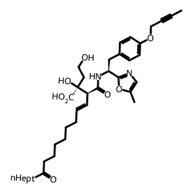 CC#CCOc1ccc(C[C@H](NC(=O)[C@@H](/C=C/CCCCCCC(=O)CCCCCCC)[C@@](O)(CCO)C(=O)O)c2ncc(C)o2)cc1